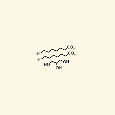 CC(C)CCCCCCC(=O)O.CC(C)CCCCCCC(=O)O.OCC(O)CO